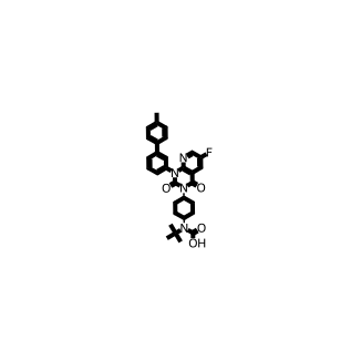 Cc1ccc(-c2cccc(-n3c(=O)n([C@H]4CC[C@@H](N(C(=O)O)C(C)(C)C)CC4)c(=O)c4cc(F)cnc43)c2)cc1